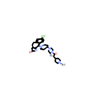 CC(=O)N1CCC(CC(=O)N2CCN(C3CCN(C4c5ccc(Cl)cc5CCc5cc(Br)cnc54)CC3)CC2C(C)C)CC1